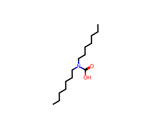 CCCCCCCN(CCCCCCC)C(=O)O